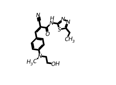 CCc1nnc(NC(=O)C(C#N)=Cc2ccc(N(C)CCO)cc2)s1